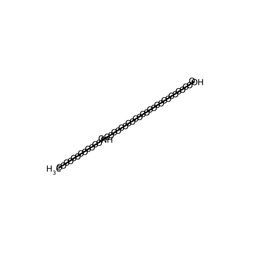 COCCOCCOCCOCCOCCOCCOCCOCCOCCOCCOCCOCCC(=O)NCCOCCOCCOCCOCCOCCOCCOCCOCCOCCOCCOCCOCCOCCOCCOCCOCCOCCOCCOCCOCCOCCOCCOCCOCCC(=O)O